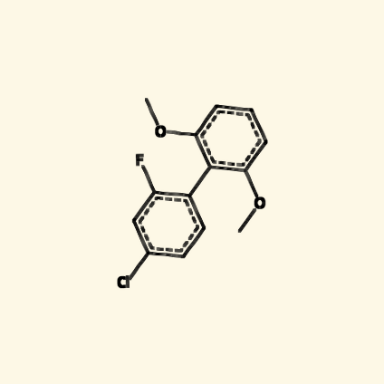 COc1cccc(OC)c1-c1ccc(Cl)cc1F